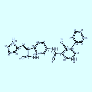 O=C1Nc2cc(NC(=O)c3c[nH]cc(-c4ccccc4)c3=O)ccc2/C1=C/c1ccc[nH]1